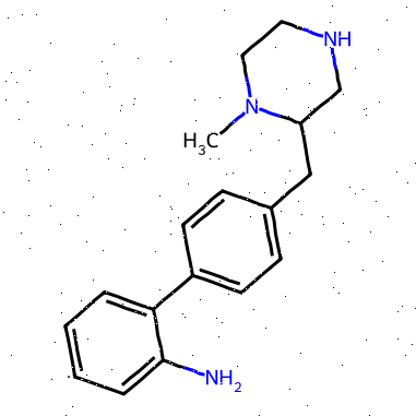 CN1CCNCC1Cc1ccc(-c2cc[c]cc2N)cc1